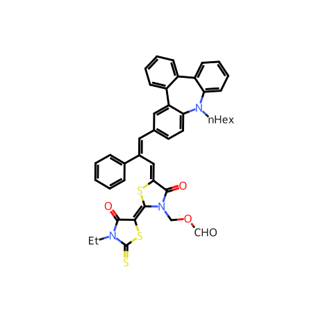 CCCCCCN1c2ccccc2-c2ccccc2-c2cc(/C=C(\C=c3/s/c(=C4/SC(=S)N(CC)C4=O)n(COC=O)c3=O)c3ccccc3)ccc21